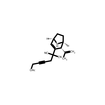 C=C(C)[C@@H]1C(C(C#N)(C#N)CC#CCOC(C)=O)=C[C@H]2CC[C@@H]1N2